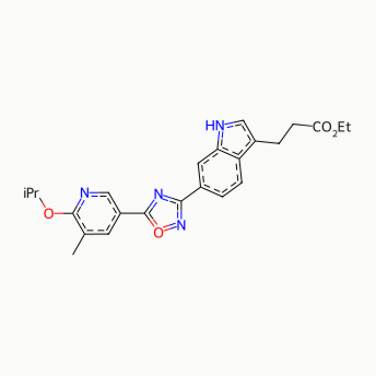 CCOC(=O)CCc1c[nH]c2cc(-c3noc(-c4cnc(OC(C)C)c(C)c4)n3)ccc12